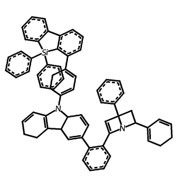 C1=CC(C2CC3(c4ccccc4)C=C(c4ccccc4C4=CC5C6=C(C=CCC6)N(C6=CC=C(c7cccc8c7[Si](c7ccccc7)(c7ccccc7)c7ccccc7-8)CC6)C5C=C4)N23)=CCC1